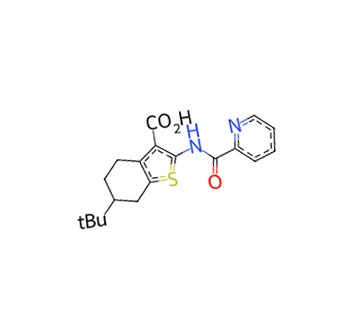 CC(C)(C)C1CCc2c(sc(NC(=O)c3ccccn3)c2C(=O)O)C1